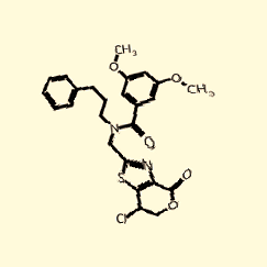 COc1cc(OC)cc(C(=O)N(CCCc2ccccc2)Cc2nc3c(s2)C(Cl)COC3=O)c1